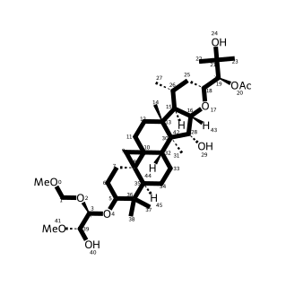 COCO[C@@H](OC1CC[C@]23CC24CC[C@]2(C)[C@@H]5[C@H](O[C@@H]([C@H](OC(C)=O)C(C)(C)O)C[C@H]5C)[C@H](O)[C@@]2(C)[C@@H]4CC[C@H]3C1(C)C)[C@H](O)OC